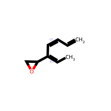 C=C/C=C\C(=C/C)C1CO1